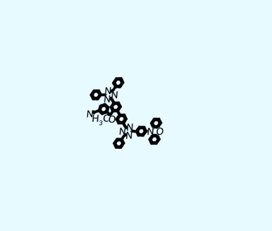 CC1(c2cccc(C#N)c2)Oc2cc(-c3nc(-c4ccccc4)nc(-c4ccc(N5c6ccccc6Oc6ccccc65)cc4)n3)ccc2-c2ccc(-c3nc(-c4ccccc4)nc(-c4ccccc4)n3)cc21